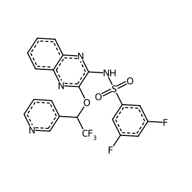 O=S(=O)(Nc1nc2ccccc2nc1OC(c1cccnc1)C(F)(F)F)c1cc(F)cc(F)c1